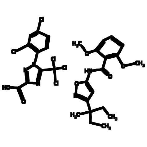 CCC(C)(CC)c1cc(NC(=O)c2c(OC)cccc2OC)on1.O=C(O)c1nc(C(Cl)(Cl)Cl)n(-c2ccc(Cl)cc2Cl)n1